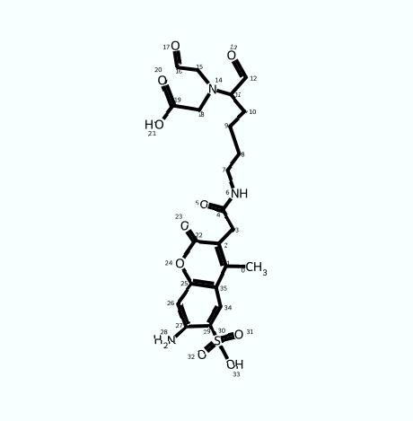 Cc1c(CC(=O)NCCCCC(C=O)N(CC=O)CC(=O)O)c(=O)oc2cc(N)c(S(=O)(=O)O)cc12